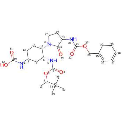 CC(OC(=O)N[C@@H]1CC(NC(=O)O)CC[C@@H]1N1CCC(NC(=O)OCc2ccccc2)C1=O)[Si](C)(C)C